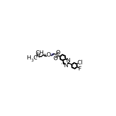 CN(C)CCCO/C=C/S(=O)(=O)c1ccc2nc(-c3ccc(F)c(Cl)c3)n[c]c2c1